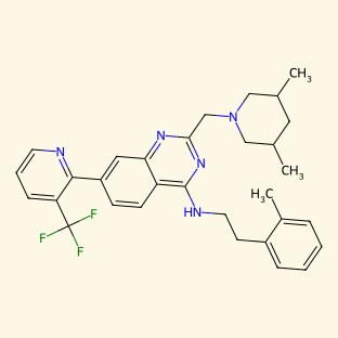 Cc1ccccc1CCNc1nc(CN2CC(C)CC(C)C2)nc2cc(-c3ncccc3C(F)(F)F)ccc12